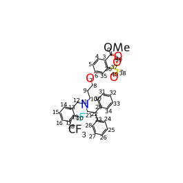 COC(=O)c1ccc(OCCCN(Cc2cccc(C(F)(F)F)c2F)CC(c2ccccc2)c2ccccc2)cc1S(C)(=O)=O